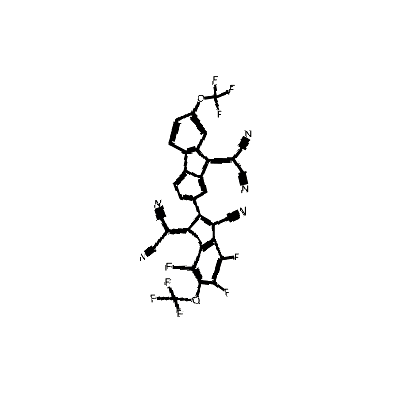 N#CC(C#N)=C1c2cc(OC(F)(F)F)ccc2-c2ccc(C3=C(C#N)c4c(F)c(F)c(OC(F)(F)F)c(F)c4C3=C(C#N)C#N)cc21